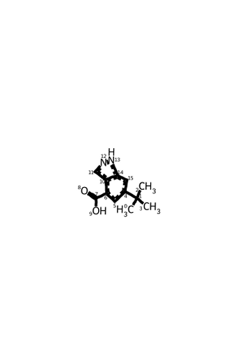 CC(C)(C)c1cc(C(=O)O)c2cn[nH]c2c1